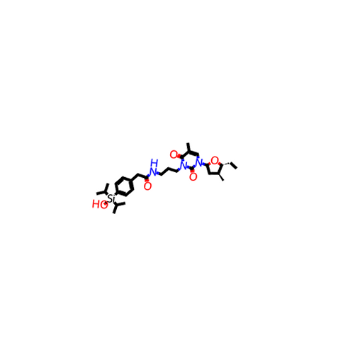 CC[C@H]1OC(n2cc(C)c(=O)n(CCCNC(=O)Cc3ccc([Si](O)(C(C)C)C(C)C)cc3)c2=O)C[C@@H]1C